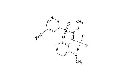 CCN([C@H](c1ccccc1OC)C(F)(F)F)S(=O)(=O)c1cncc(C#N)c1